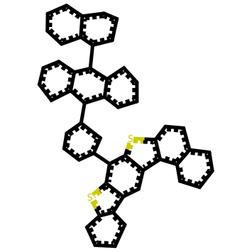 c1cc(-c2c3ccccc3c(-c3cccc4ccccc34)c3ccccc23)cc(-c2c3sc4ccccc4c3cc3c2sc2ccc4ccccc4c23)c1